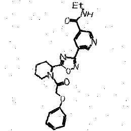 CCNC(=O)c1cncc(-c2noc(C3CCCCN3C(=O)COc3ccccc3)n2)c1